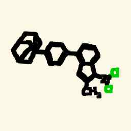 CC1=Cc2c(-c3ccc(C45CC6CC(CC(C6)C4)C5)cc3)cccc2[CH]1[Zr]([Cl])[Cl]